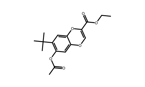 CCOC(=O)C1=COc2cc(OC(C)=O)c(C(C)(C)C)cc2O1